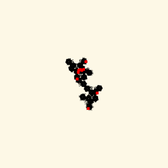 c1cc2c3c(c1)-c1cc4c5ccccc5sc4c4c1c(cc1c5ccc(-c6ccc7c(c6)sc6cc8ccc(-c9cc%10c%11c(c9)-c9cccc%12c9c(cc9sc%13ccccc%13c9%12)B%11c9cc%11sc%12ccccc%12c%11c%11cccc-%10c9%11)c9c8c(c67)-c6cccc7c6B9c6cccc8cc9sc%10ccccc%10c9c-7c68)cc5sc14)B3c1cc3c4ccccc4sc3c3c1c-2cc1c2ccccc2sc13